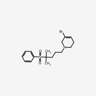 CC(C)(CCCN1CCC=C(Br)C1)S(=O)(=O)c1ccccc1